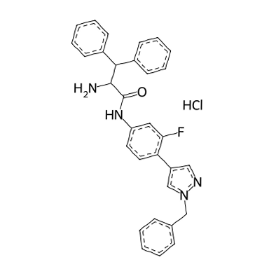 Cl.NC(C(=O)Nc1ccc(-c2cnn(Cc3ccccc3)c2)c(F)c1)C(c1ccccc1)c1ccccc1